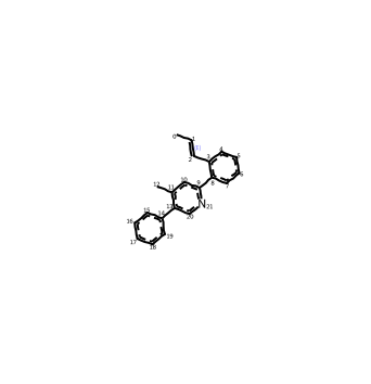 C/C=C/c1ccccc1-c1cc(C)c(-c2ccccc2)cn1